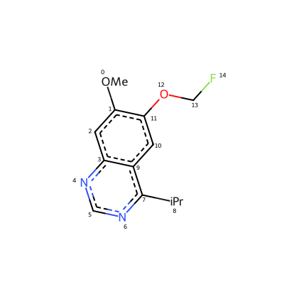 COc1cc2ncnc(C(C)C)c2cc1OCF